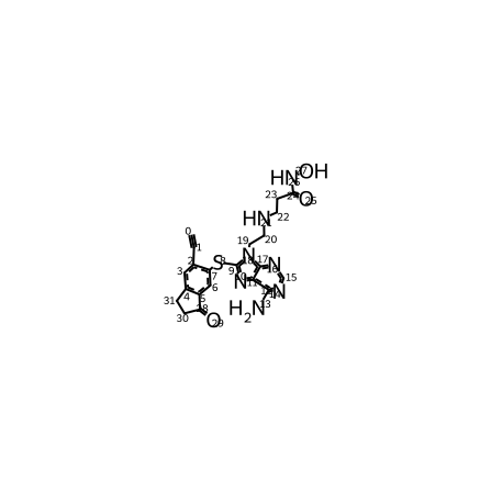 C#Cc1cc2c(cc1Sc1nc3c(N)ncnc3n1CCNCCC(=O)NO)C(=O)CC2